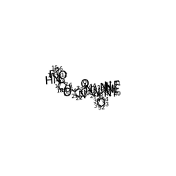 O=C(c1cc(-c2cc3cc(NC(=O)C4(F)CC4)ccc3o2)ccn1)N1CCN(C(c2ccccc2)c2nnn(C(F)F)n2)CC1